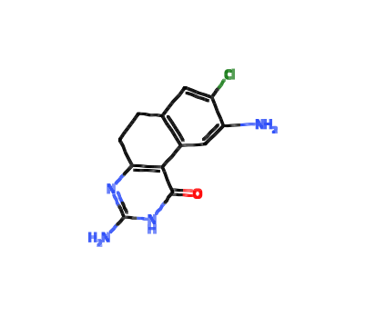 Nc1nc2c(c(=O)[nH]1)-c1cc(N)c(Cl)cc1CC2